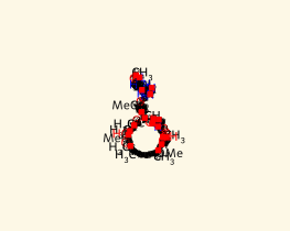 CO[C@H]1C[C@@H]2CC[C@@H](C)[C@@](O)(O2)C(=O)C(=O)N2CCCC[C@H]2C(=O)O[C@H]([C@H](C)C[C@@H]2CC[C@@H](OCn3nc(-c4ccc5oc(C)nc5c4)c4c(N)ncnc43)[C@H](OC)C2)CC(=O)[C@H](C)/C=C(\C)[C@@H](O)[C@@H](OC)C(=O)[C@H](C)C[C@H](C)/C=C/C=C/C=C/1C